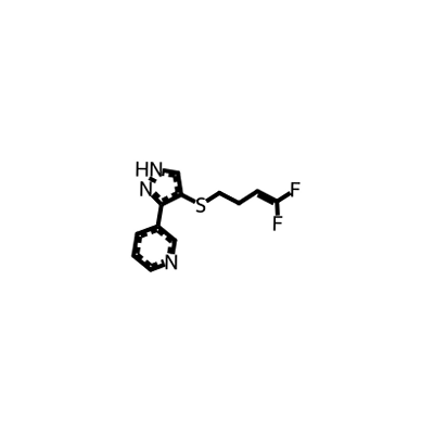 FC(F)=CCCSc1c[nH]nc1-c1cccnc1